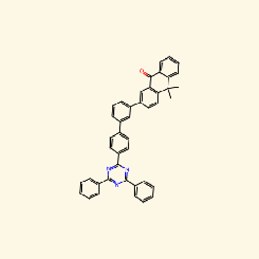 CC1(C)c2ccccc2C(=O)c2cc(-c3cccc(-c4ccc(-c5nc(-c6ccccc6)nc(-c6ccccc6)n5)cc4)c3)ccc21